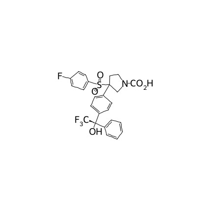 O=C(O)N1CCC(c2ccc([C@@](O)(c3ccccc3)C(F)(F)F)cc2)(S(=O)(=O)c2ccc(F)cc2)C1